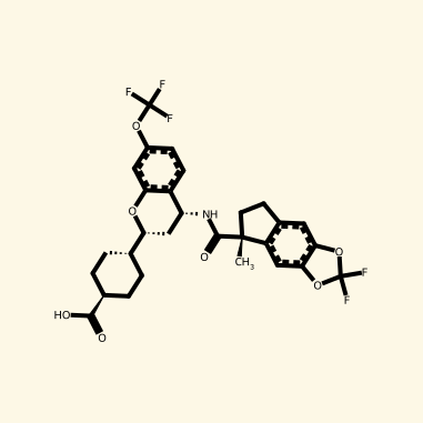 C[C@@]1(C(=O)N[C@@H]2C[C@H]([C@H]3CC[C@H](C(=O)O)CC3)Oc3cc(OC(F)(F)F)ccc32)CCc2cc3c(cc21)OC(F)(F)O3